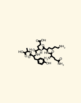 CC(NC(=O)C(Cc1ccc(O)cc1)NC(=O)C(CCC(=O)O)NC(=O)C(CCCCN)NC(=O)C(N)CCC(N)=O)C(=O)O